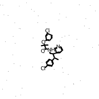 CC(c1ccc(Cl)cc1)C(CNC(=O)C(C)(C)Oc1cccc(Cl)c1)c1cccnc1